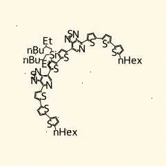 CCCCCCc1ccc(-c2ccc(-c3ccc(-c4ncc(-c5cc6c(s5)-c5sc(-c7cnc(-c8ccc(-c9ccc(-c%10ccc(CCCCCC)s%10)s9)s8)c8nsnc78)cc5[Si]6(CC(CC)CCCC)CC(CC)CCCC)c5nsnc45)s3)s2)s1